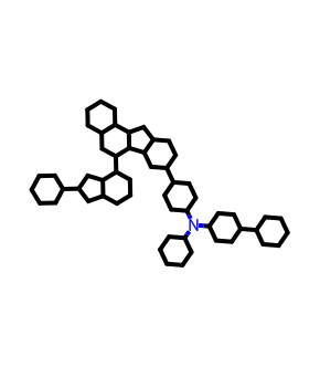 C1CCC(C2CCC(N(C3CCCCC3)C3CCC(C4CCC5CC6C7CCCCC7CC(C7CCCC8CC(C9CCCCC9)CC87)C6C5C4)CC3)CC2)CC1